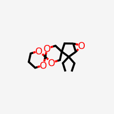 CCC1(CC)C2OC2CC12COC1(OCCCO1)OC2